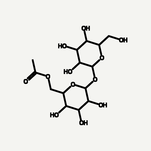 CC(=O)OCC1OC(OC2OC(CO)C(O)C(O)C2O)C(O)C(O)C1O